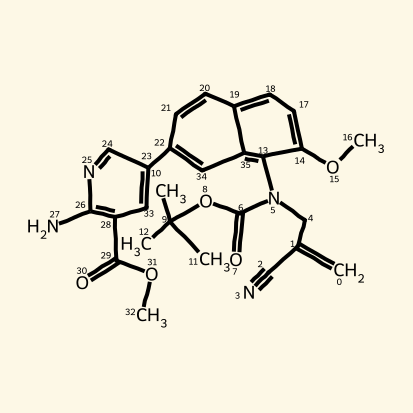 C=C(C#N)CN(C(=O)OC(C)(C)C)c1c(OC)ccc2ccc(-c3cnc(N)c(C(=O)OC)c3)cc12